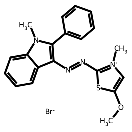 COc1c[n+](C)c(N=Nc2c(-c3ccccc3)n(C)c3ccccc23)s1.[Br-]